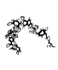 CNCCOCCc1ccc(NC(=O)NCc2ccc3c(c2)CN(C2CCC(=O)N(CN(C)S(=O)(=O)c4ccc(C(=O)NCCN5C(=O)C=CC5=O)cc4[N+](=O)[O-])C2=O)C3=O)cc1Cl